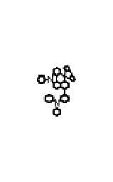 c1ccc(N(c2ccccc2)c2cccc(-c3ccc4c5c3ccc3c5c5c(cccc5n3-c3ccccc3)C43c4ccccc4-c4ccccc43)c2)cc1